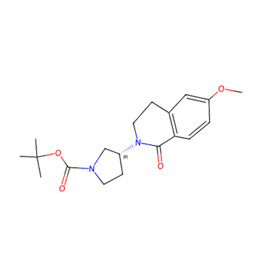 COc1ccc2c(c1)CCN([C@@H]1CCN(C(=O)OC(C)(C)C)C1)C2=O